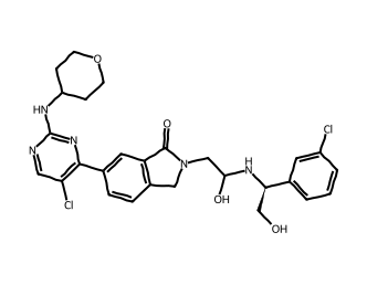 O=C1c2cc(-c3nc(NC4CCOCC4)ncc3Cl)ccc2CN1CC(O)N[C@H](CO)c1cccc(Cl)c1